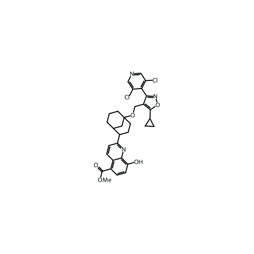 COC(=O)c1ccc(O)c2nc(C3CCC4(OCc5c(-c6c(Cl)cncc6Cl)noc5C5CC5)CCCC3C4)ccc12